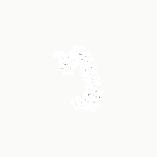 O=C(O)NC(C(=O)N1CCC[C@H]1c1ncc(-c2ccc(-c3ccc(-c4cnc([C@@H]5CCCN5C(=O)c5ncco5)[nH]4)cc3)cc2)[nH]1)c1ccccc1